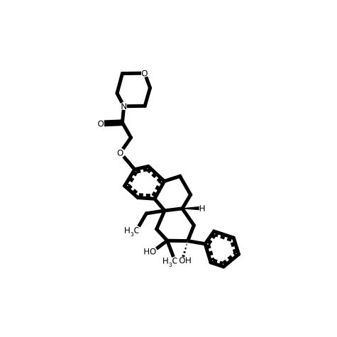 CCC12CC(C)(O)[C@](O)(c3ccccc3)C[C@H]1CCc1cc(OCC(=O)N3CCOCC3)ccc12